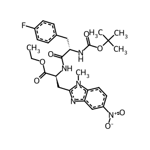 CCOC(=O)[C@H](Cc1nc2cc([N+](=O)[O-])ccc2n1C)NC(=O)[C@H](Cc1ccc(F)cc1)NC(=O)OC(C)(C)C